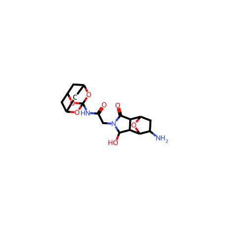 NC1CC2OC1C1C2C(=O)N(CC(=O)NC23OC4CC(CC(C4)O2)O3)C1O